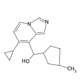 CC1CCC(C(O)c2c(C3CC3)ccn3cncc23)C1